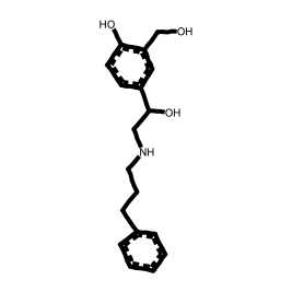 OCc1cc(C(O)CNCCCc2cc[c]cc2)ccc1O